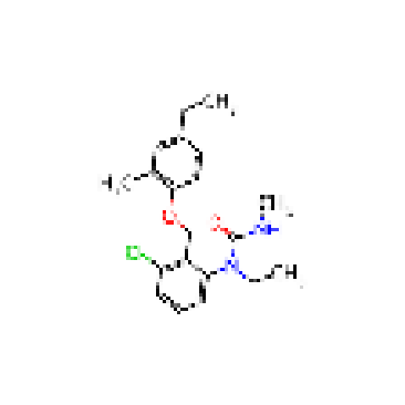 CCc1ccc(OCc2c(Cl)cccc2N(CC)C(=O)NC)c(C)c1